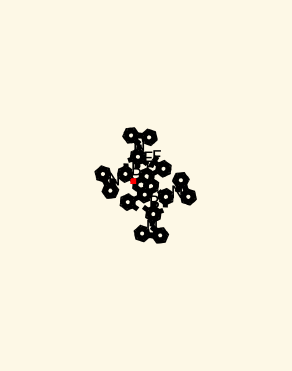 Cc1ccccc1-c1cc(B(c2c(C)cc(-n3c4ccccc4c4ccccc43)cc2C)c2c(C)cc(-n3c4ccccc4c4ccccc43)cc2C)c2ccc3c(-c4ccccc4C(F)(F)F)cc(B(c4c(C)cc(-n5c6ccccc6c6ccccc65)cc4C)c4c(C)cc(-n5c6ccccc6c6ccccc65)cc4C)c4ccc1c2c43